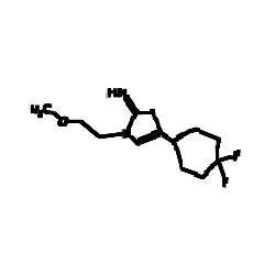 COCCn1cc(C2CCC(F)(F)CC2)sc1=N